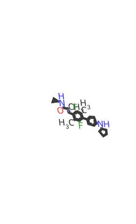 C/C(=C\c1c(C)c(F)c(-c2ccc(NC3CCCC3)cc2)c(C)c1F)C(=O)NC1CC1